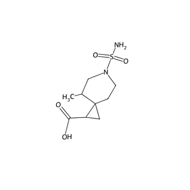 CC1CN(S(N)(=O)=O)CCC12CC2C(=O)O